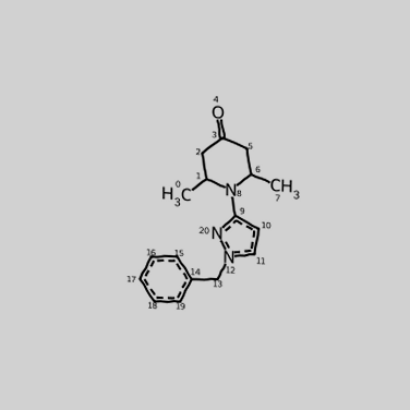 CC1CC(=O)CC(C)N1c1ccn(Cc2ccccc2)n1